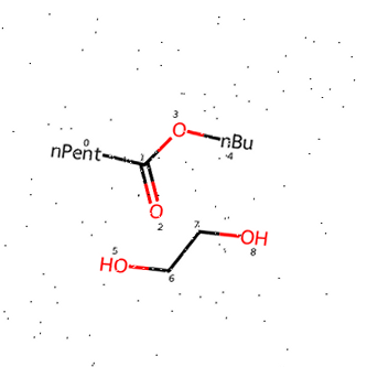 CCCCCC(=O)OCCCC.OCCO